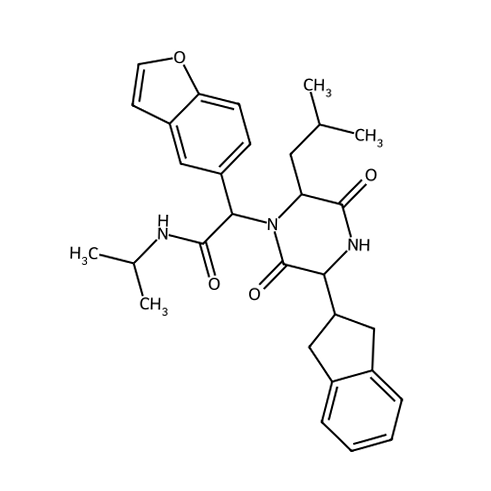 CC(C)CC1C(=O)NC(C2Cc3ccccc3C2)C(=O)N1C(C(=O)NC(C)C)c1ccc2occc2c1